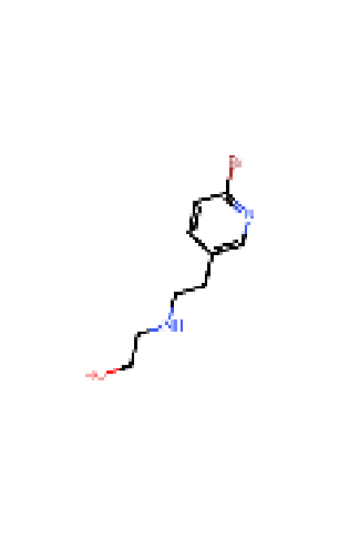 OCCNCCc1ccc(Br)nc1